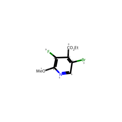 CCOC(=O)c1c(Br)cnc(OC)c1F